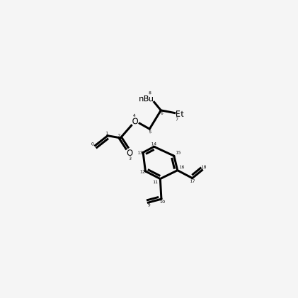 C=CC(=O)OCC(CC)CCCC.C=Cc1ccccc1C=C